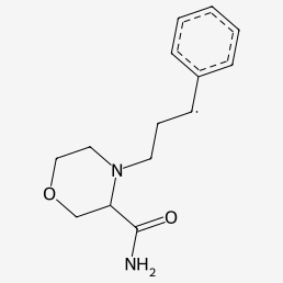 NC(=O)C1COCCN1CC[CH]c1ccccc1